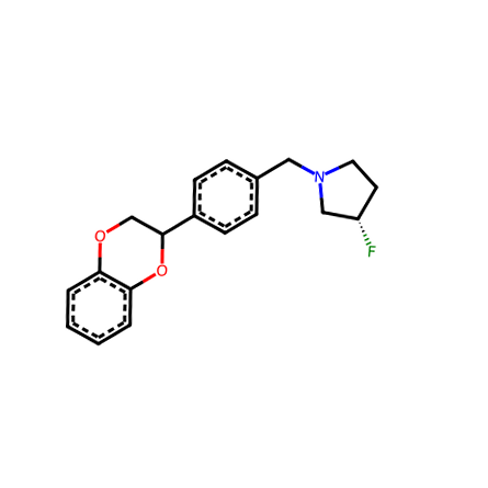 F[C@H]1CCN(Cc2ccc(C3COc4ccccc4O3)cc2)C1